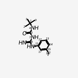 CC(C)(C)NC(=O)NC(=N)Nc1cccc(F)c1